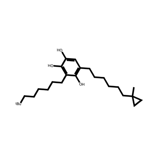 CC(C)(C)CCCCCCc1c(O)c(O)cc(CCCCCCC2(C)CC2)c1O